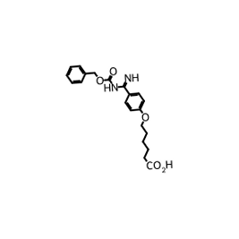 N=C(NC(=O)OCc1ccccc1)c1ccc(OCCCCCC(=O)O)cc1